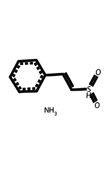 N.O=[SH](=O)C=Cc1ccccc1